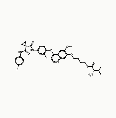 COc1cc2c(Oc3ccc(NC(=O)C4(C(=O)Nc5ccc(F)cc5)CC4)cc3F)ccnc2cc1OCCCCSC(=O)[C@@H](N)C(C)C